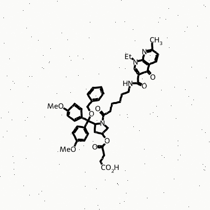 CCn1cc(C(=O)NCCCCCC(=O)N2CC(OC(=O)CCC(=O)O)CC2C(OCc2ccccc2)(c2ccc(OC)cc2)c2ccc(OC)cc2)c(=O)c2ccc(C)nc21